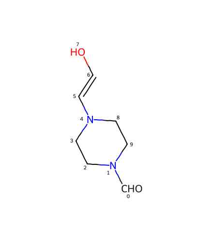 O=CN1CCN(C=CO)CC1